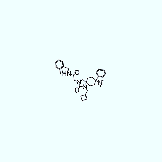 Cc1ccccc1CNC(=O)CN1CC2(CCC(c3ccccc3)(N(C)C)CC2)N(CC2CCC2)C1=O